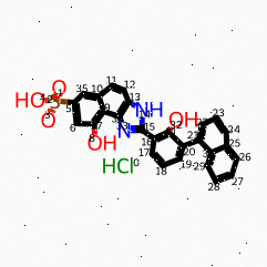 Cl.O=S(=O)(O)c1cc(O)c2c(ccc3[nH]c(-c4cccc(-c5cccc6ccccc56)c4O)nc32)c1